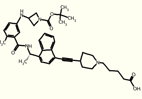 Cc1ccc(NC2CN(C(=O)OC(C)(C)C)C2)cc1C(=O)N[C@@H](C)c1ccc(C#CC2CCN(CCCCC(=O)O)CC2)c2ccccc12